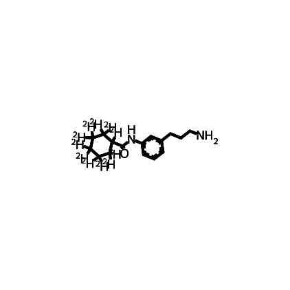 [2H]C1([2H])C([2H])([2H])C([2H])([2H])C([2H])(C(=O)Nc2cccc(CCCN)c2)C([2H])([2H])C1([2H])[2H]